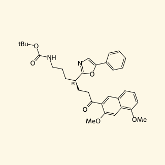 COc1cc2c(OC)cccc2cc1C(=O)CC[C@@H](CCCNC(=O)OC(C)(C)C)c1ncc(-c2ccccc2)o1